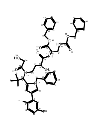 CC(C)(C)[C@H](c1cc(-c2cc(F)ccc2F)cn1Cc1ccccc1)N(CC[C@H](N)C(=O)N[C@H](CNC(=O)OCc1ccccc1)C(=O)OCc1ccccc1)C(=O)CO